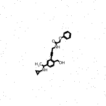 CC(NC1CC1)c1ccc(CO)c(C#CCNC(=O)COc2ccccc2)c1